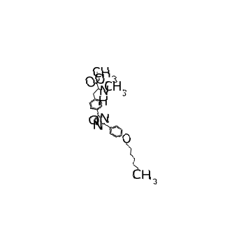 CCCCCCCOc1ccc(-c2noc(-c3ccc(CC(NC)C(=O)OC)cc3)n2)cc1